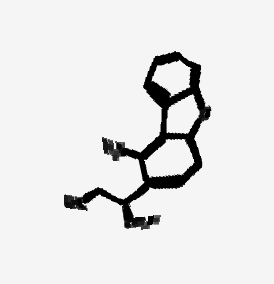 Nc1c([C@H](CC=O)C(=O)O)ccc2oc3ccccc3c12